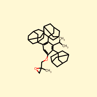 CC(C)c1c(C23CC4CC(CC(C4)C2)C3)c(OCC2(C)CO2)cc(C23CC4CC(CC(C4)C2)C3)c1C12CC3CC(CC(C3)C1)C2